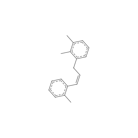 Cc1ccccc1/C=C\Cc1cccc(C)c1C